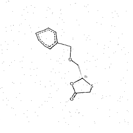 O=C1CS[C@@H](COCc2ccccc2)O1